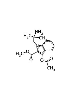 COC(=O)c1c(OC(C)=O)c2ccccc2n1CC(C)(C)N